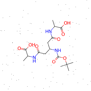 CC(NC(=O)CC(CC(=O)NC(C)C(=O)O)NC(=O)OC(C)(C)C)C(=O)O